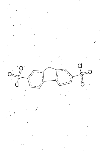 O=S(=O)(Cl)c1ccc2c(c1)Cc1cc(S(=O)(=O)Cl)ccc1-2